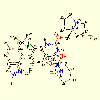 Cc1cc2cn(C)nc2c(-c2c(F)cc3c(N4CC5CCC(C4)N5C(=O)O)nc(OC[C@@]45CCCN4C[C@H](F)C5)nc3c2F)c1C(F)(F)F